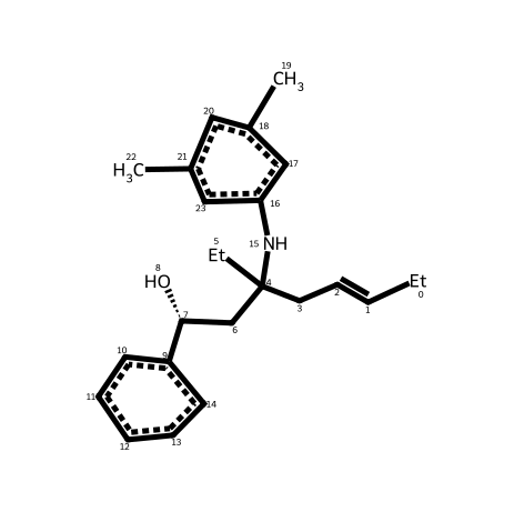 CC/C=C/CC(CC)(C[C@@H](O)c1ccccc1)Nc1cc(C)cc(C)c1